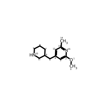 COc1cc(CC2CCCNC2)cc(C)n1